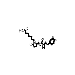 O=C(O)CCCCCCN1C(=O)CCC1COC(=S)NCCc1ccccc1